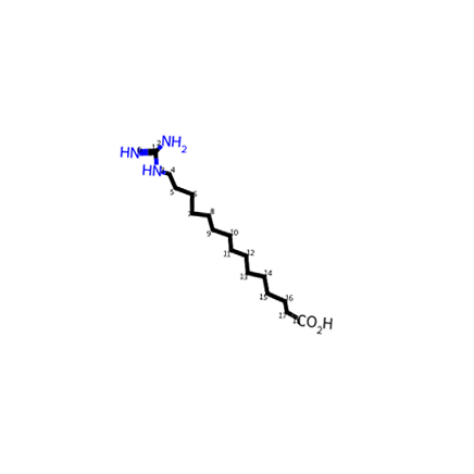 N=C(N)NCCCCCCCCCCCCCCC(=O)O